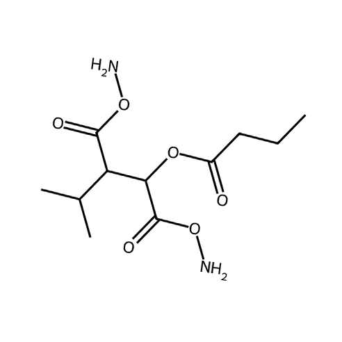 CCCC(=O)OC(C(=O)ON)C(C(=O)ON)C(C)C